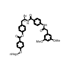 CCCCCCCOc1ccc(C(=O)Oc2ccc(C[C@H](NC(=O)c3ccc(NC(=O)Cc4cc(OC)cc(OC)c4)cc3)C(C)=O)cc2)cc1